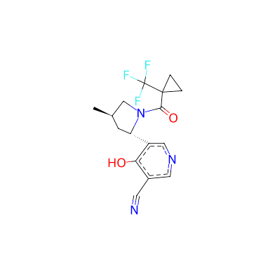 C[C@@H]1C[C@@H](c2cncc(C#N)c2O)N(C(=O)C2(C(F)(F)F)CC2)C1